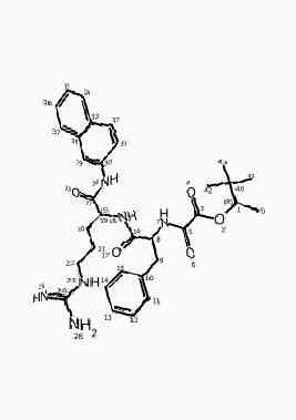 C[C@@H](OC(=O)C(=O)NC(Cc1ccccc1)C(=O)N[C@@H](CCCNC(=N)N)C(=O)Nc1ccc2ccccc2c1)C(C)(C)C